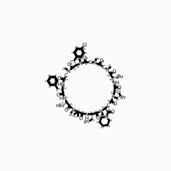 CCCC[C@@H]1NC(=O)[C@H](Cc2ccccc2)NC(=O)CN(C)C(=O)[C@H](Cc2ccc(Cl)cc2)N(C)C(=O)CN(C)C(=O)CN(C)C(=O)[C@H]([C@@H](C)CC)NC(=O)[C@H](CC(C)C)N(C)C(=O)C[C@@H](C(=O)N2CCCCC2)N(C)C(=O)[C@H](CC(C)C)NC(=O)C(C)(C)N(C)C1=O